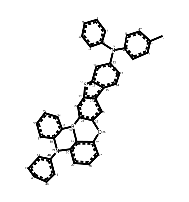 Cc1ccc(N(c2ccccc2)c2ccc3c(c2)sc2cc4c(cc23)Oc2cccc3c2B4c2ccccc2N3c2ccccc2)cc1